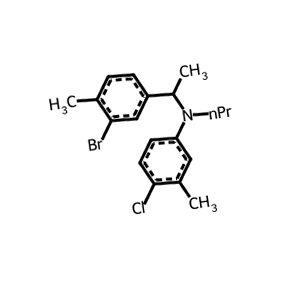 CCCN(c1ccc(Cl)c(C)c1)C(C)c1ccc(C)c(Br)c1